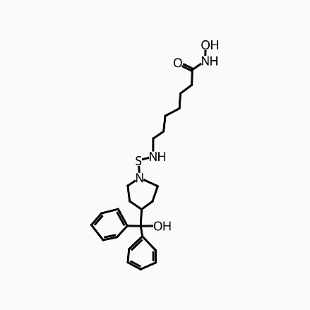 O=C(CCCCCCNSN1CCC(C(O)(c2ccccc2)c2ccccc2)CC1)NO